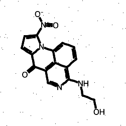 O=c1c2cnc(NCCO)c3cccc(c32)n2c([N+](=O)[O-])ccc12